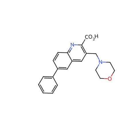 O=C(O)c1nc2ccc(-c3ccccc3)cc2cc1CN1CCOCC1